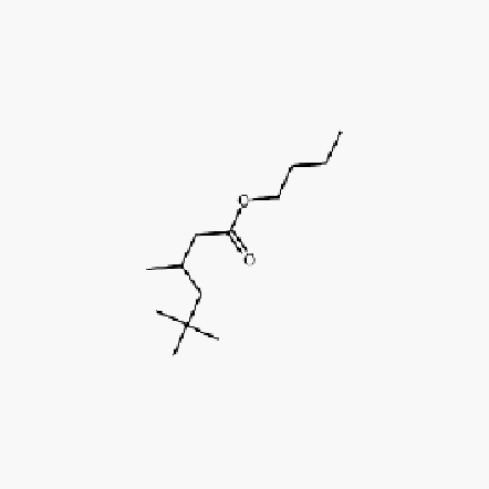 CCCCOC(=O)CC(C)CC(C)(C)C